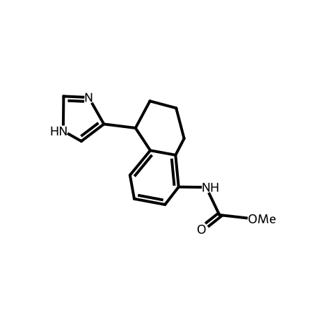 COC(=O)Nc1cccc2c1CCCC2c1c[nH]cn1